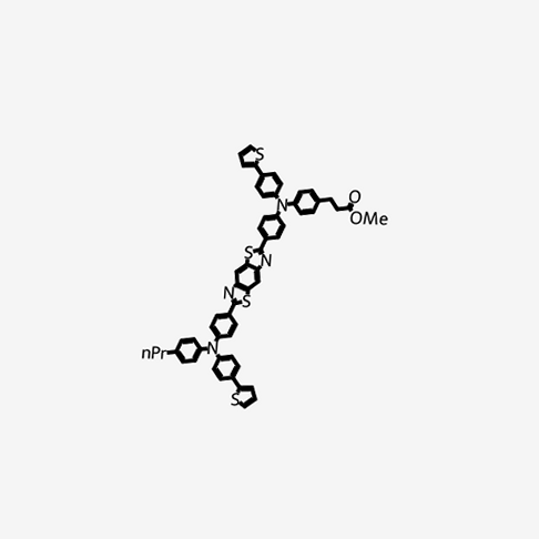 CCCc1ccc(N(c2ccc(-c3cccs3)cc2)c2ccc(-c3nc4cc5sc(-c6ccc(N(c7ccc(CCC(=O)OC)cc7)c7ccc(-c8cccs8)cc7)cc6)nc5cc4s3)cc2)cc1